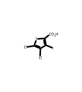 O=C(O)c1sc(Cl)c(Cl)c1I